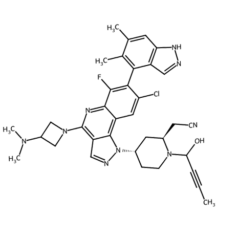 CC#CC(O)N1CC[C@H](n2ncc3c(N4CC(N(C)C)C4)nc4c(F)c(-c5c(C)c(C)cc6[nH]ncc56)c(Cl)cc4c32)C[C@H]1CC#N